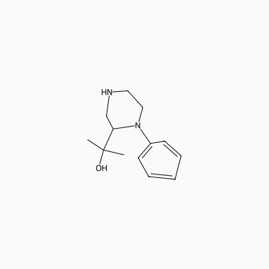 CC(C)(O)C1CNCCN1c1ccccc1